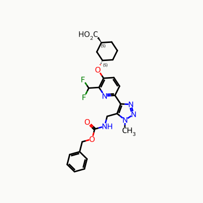 Cn1nnc(-c2ccc(O[C@H]3CCC[C@H](C(=O)O)C3)c(C(F)F)n2)c1CNC(=O)OCc1ccccc1